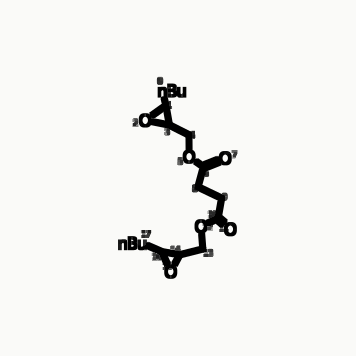 CCCCC1OC1COC(=O)CCC(=O)OCC1OC1CCCC